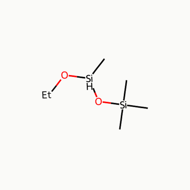 CCO[SiH](C)O[Si](C)(C)C